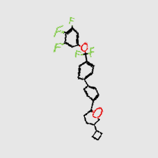 Fc1cc(OC(F)(F)c2ccc(-c3ccc(C4CCC(C5CCC5)CO4)cc3)cc2)cc(F)c1F